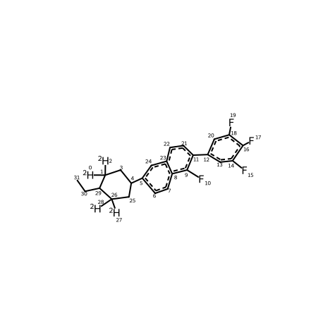 [2H]C1([2H])CC(c2ccc3c(F)c(-c4cc(F)c(F)c(F)c4)ccc3c2)CC([2H])([2H])C1CC